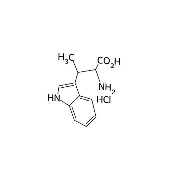 CC(c1c[nH]c2ccccc12)C(N)C(=O)O.Cl